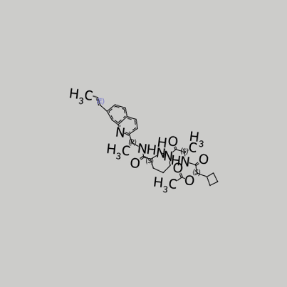 C/C=C/c1ccc2ccc([C@@H](C)NC(=O)[C@@H]3CCCN(C(=O)[C@H](C)NC(=O)[C@@H](OC(C)=O)C4CCC4)N3)nc2c1